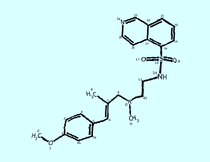 COc1ccc(C=C(C)CN(C)CCNS(=O)(=O)c2cccc3cnccc23)cc1